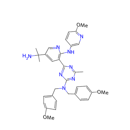 COc1ccc(CN(Cc2ccc(OC)cc2)c2nc(C)nc(-c3cc(C(C)(C)N)cnc3Nc3ccc(OC)nc3)n2)cc1